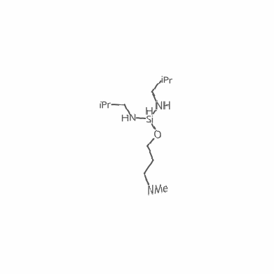 CNCCCO[SiH](NCC(C)C)NCC(C)C